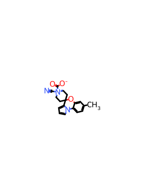 Cc1ccc2c(c1)OC1(CC[N+](C#N)(C(=O)[O-])CC1)c1cccn1-2